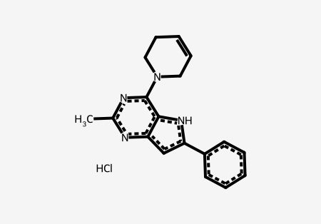 Cc1nc(N2CC=CCC2)c2[nH]c(-c3ccccc3)cc2n1.Cl